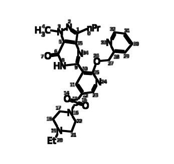 CCCc1nn(C)c2c(=O)[nH]c(-c3cc(S(=O)(=O)N4CCN(CC)CC4)cnc3OCc3ccccn3)nc12